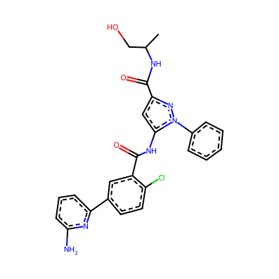 CC(CO)NC(=O)c1cc(NC(=O)c2cc(-c3cccc(N)n3)ccc2Cl)n(-c2ccccc2)n1